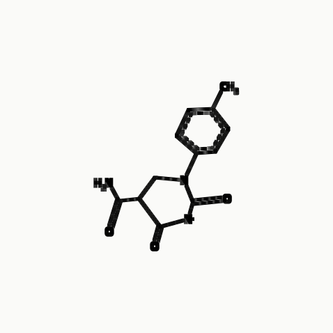 Cc1ccc(N2CC(C(N)=O)C(=O)[N]C2=O)cc1